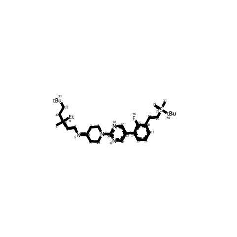 CCC(C)(CCN=C1CCN(c2ncc(-c3cccc(CCS(C)(C)C(C)(C)C)c3F)cn2)CC1)CCC(C)(C)C